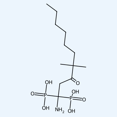 CCCCCCC(C)(C)C(=O)CC(N)(P(=O)(O)O)P(=O)(O)O